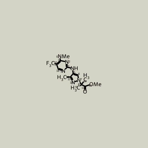 CNc1nc(Nc2cn(C(C)(C)C(=O)OC)nc2C)ncc1C(F)(F)F